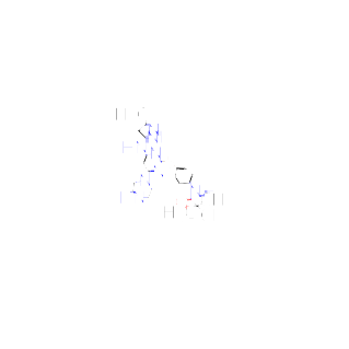 Cc1cc(Nc2cc(N3CCNCC3)nc(Sc3ccc(NC(=O)C(C)(C)C)cc3)n2)[nH]n1